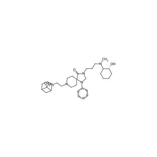 CN(CCCN1CN(c2ccccc2)C2(CCN(CCC3CCC4CC3C4(C)C)CC2)C1=O)C1CCCC[C@H]1O